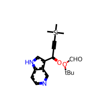 CC(C)(C)OC=O.C[Si](C)(C)C#CC(=O)c1c[nH]c2ccncc12